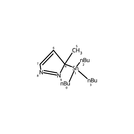 CCC[CH2][Sn]([CH2]CCC)([CH2]CCC)[C]1(C)C=CN=N1